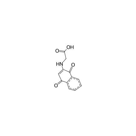 O=C(O)CNC1=CC(=O)c2ccccc2C1=O